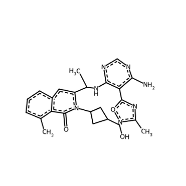 Cc1noc(-c2c(N)ncnc2NC(C)c2cc3cccc(C)c3c(=O)n2C2CC(CO)C2)n1